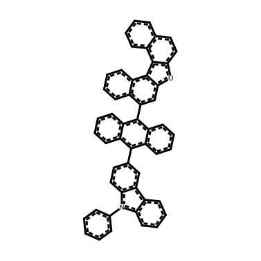 c1ccc(-n2c3ccccc3c3cc(-c4c5ccccc5c(-c5cc6oc7ccc8ccccc8c7c6c6ccccc56)c5ccccc45)ccc32)cc1